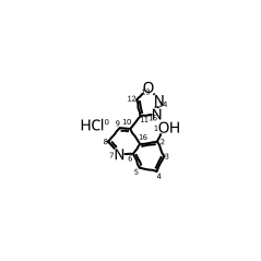 Cl.Oc1cccc2nccc(-c3conn3)c12